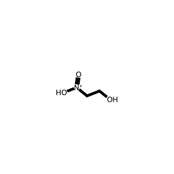 O=[N+](O)CCO